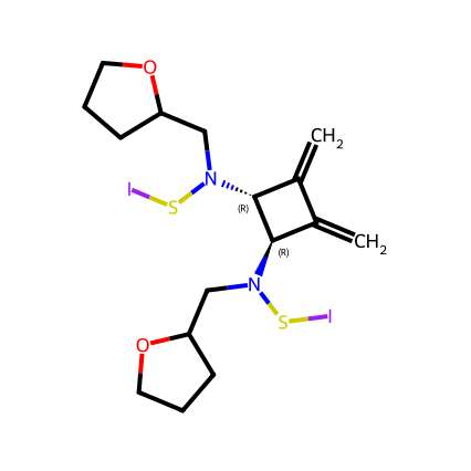 C=C1C(=C)[C@@H](N(CC2CCCO2)SI)[C@@H]1N(CC1CCCO1)SI